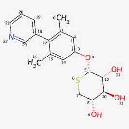 Cc1cc(O[C@H]2SC[C@@H](O)[C@H](O)[C@H]2O)cc(C)c1-c1cccnc1